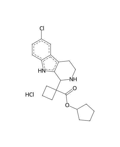 Cl.O=C(OC1CCCC1)C1(C2NCCc3c2[nH]c2ccc(Cl)cc32)CCC1